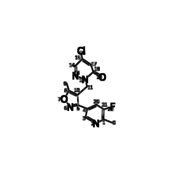 Cc1ncc(-c2noc(C)c2Cn2ncc(Cl)cc2=O)cc1F